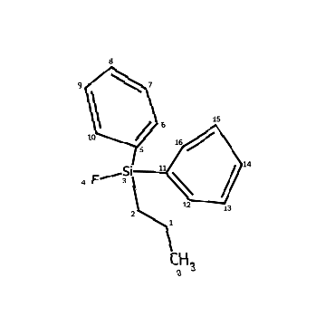 CCC[Si](F)(c1ccccc1)c1ccccc1